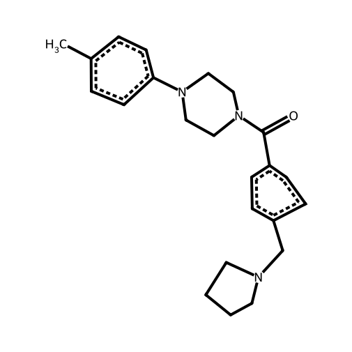 Cc1ccc(N2CCN(C(=O)c3ccc(CN4CCCC4)cc3)CC2)cc1